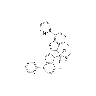 Cc1ccc(-c2ccccn2)c2c1[CH]([Zr]([Cl])([Cl])([CH]1C=Cc3c(-c4ccccn4)ccc(C)c31)[SiH](C)C)C=C2